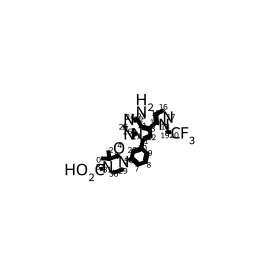 CC1(C)C(=O)N(c2cccc(-c3cc(-c4ccnn4CC(F)(F)F)c4c(N)ncnn34)c2)CCN1C(=O)O